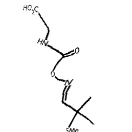 CSC(C)(C)/C=N/OC(=O)NCC(=O)O